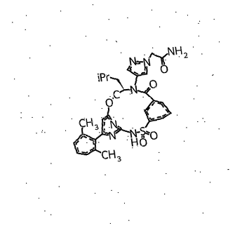 Cc1cccc(C)c1-c1cc2nc(n1)NS(=O)(=O)c1cccc(c1)C(=O)N(c1cnn(CC(N)=O)c1)[C@H](CC(C)C)CO2